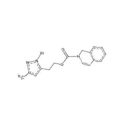 CCn1nc(C)cc1CCOC(=O)N1C=Cc2ccccc2C1